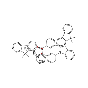 CC1(C)c2ccccc2-c2ccc3c(c21)c1ccccc1n3-c1cccc(C#N)c1-c1c(-c2ccc(C(F)(F)F)cc2C#N)cccc1-n1c2ccccc2c2c3c(ccc21)-c1ccccc1C3(C)C